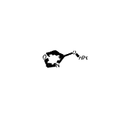 CCCOc1co[c]n1